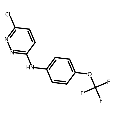 FC(F)(F)Oc1ccc(Nc2ccc(Cl)nn2)cc1